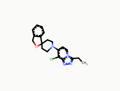 CCc1nnc2c(Cl)c(N3CCC4(CC3)OCc3ccccc34)ccn12